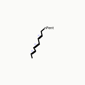 C/C=C/C=C/C=C/CCCCCC